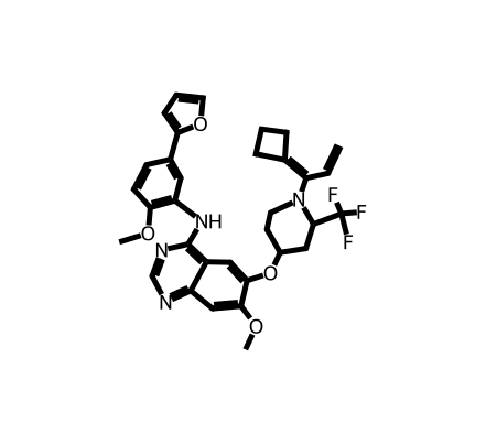 C=CC(=C1CCC1)N1CCC(Oc2cc3c(Nc4cc(-c5ccco5)ccc4OC)ncnc3cc2OC)CC1C(F)(F)F